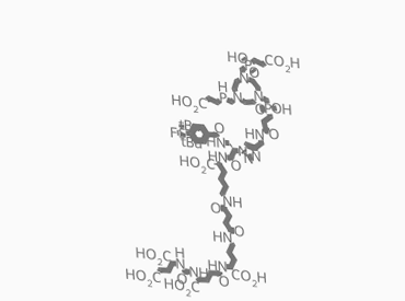 CC(C)(C)S(F)(c1ccc(C(=O)NC[C@@H](C(=O)N[C@H](CCCCNC(=O)CCC(=O)NCCC[C@@H](NC(=O)CC[C@H](NC(=O)N[C@@H](CCC(=O)O)C(=O)O)C(=O)O)C(=O)O)C(=O)O)n2cc(CNC(=O)CCP(=O)(O)CN3CCN(CPCCC(=O)O)CCN(CP(=O)(O)CCC(=O)O)CC3)nn2)cc1)C(C)(C)C